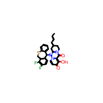 CCCCC1CCN2C(=O)c3c(O)c(=O)ccn3N(C3c4ccccc4SCc4c3ccc(F)c4F)C2C1